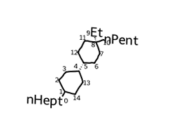 CCCCCCCC1CCC([C@H]2CC[C@](CC)(CCCCC)CC2)CC1